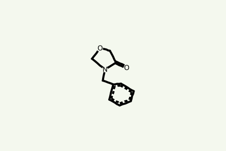 O=C1COCN1Cc1ccccc1